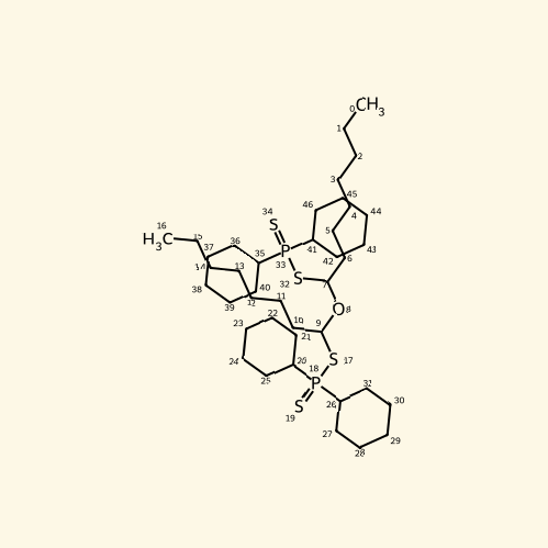 CCCCCCCC(OC(CCCCCCC)SP(=S)(C1CCCCC1)C1CCCCC1)SP(=S)(C1CCCCC1)C1CCCCC1